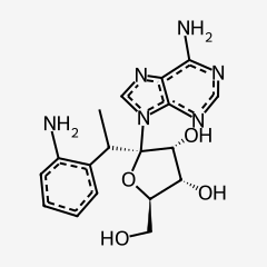 CC(c1ccccc1N)[C@@]1(n2cnc3c(N)ncnc32)O[C@H](CO)[C@@H](O)[C@H]1O